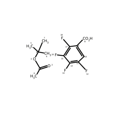 CC(=O)OC(C)(C)C.O=C(O)c1cc(F)c(F)c(F)c1F